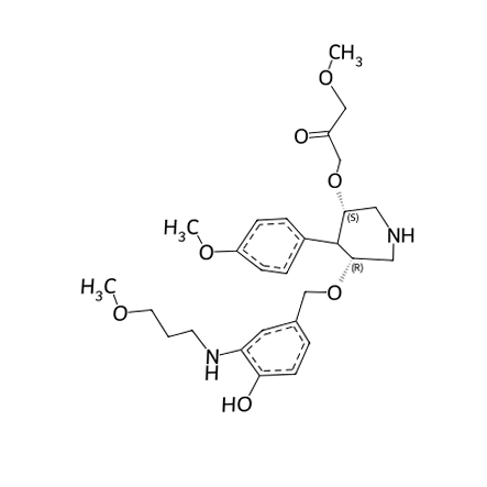 COCCCNc1cc(CO[C@H]2CNC[C@@H](OCC(=O)COC)C2c2ccc(OC)cc2)ccc1O